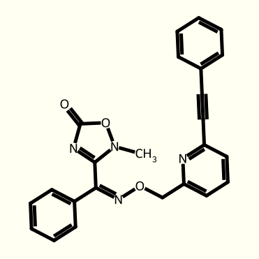 Cn1oc(=O)nc1/C(=N\OCc1cccc(C#Cc2ccccc2)n1)c1ccccc1